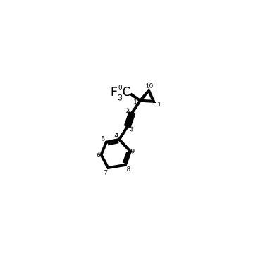 FC(F)(F)C1(C#CC2=CCCC=C2)CC1